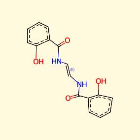 O=C(N/C=C/NC(=O)c1ccccc1O)c1ccccc1O